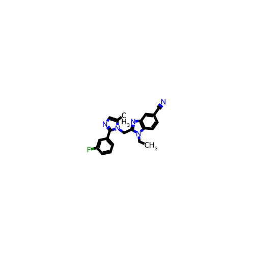 CCn1c(Cn2c(C)cnc2-c2cccc(F)c2)nc2cc(C#N)ccc21